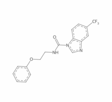 O=C(NCCOc1ccccc1)n1cnc2cc(C(F)(F)F)ccc21